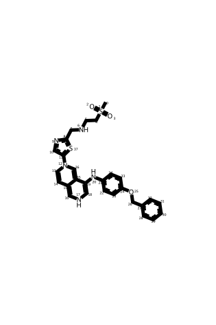 CS(=O)(=O)CCNCc1ncc(N2C=CC3=CNC=C(Nc4ccc(OCc5ccccc5)cc4)C3=C2)s1